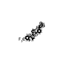 C[C@@H]1CC[C@H](C(=O)N[C@@H](c2ccc(C(F)(F)F)cc2F)C2CC2)N1C(=O)c1cccc(C2(F)CN(S(C)(=O)=O)C2)c1